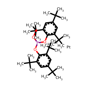 CCOP(Oc1c(C(C)(C)C)cc(C(C)(C)C)cc1C(C)(C)C)Oc1c(C(C)(C)C)cc(C(C)(C)C)cc1C(C)(C)C.[Pt]